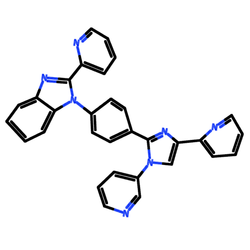 c1ccc(-c2cn(-c3cccnc3)c(-c3ccc(-n4c(-c5ccccn5)nc5ccccc54)cc3)n2)nc1